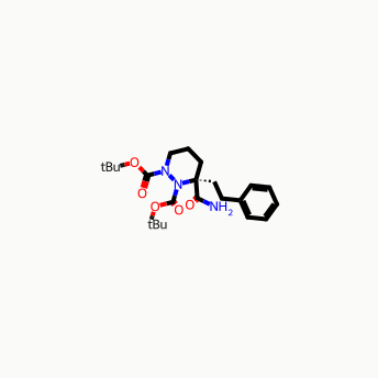 CC(C)(C)OC(=O)N1CCC[C@@](CCc2ccccc2)(C(N)=O)N1C(=O)OC(C)(C)C